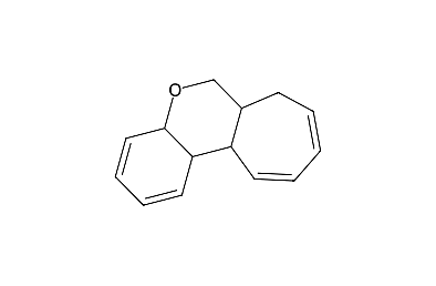 C1=CCC2COC3C=CC=CC3C2C=C1